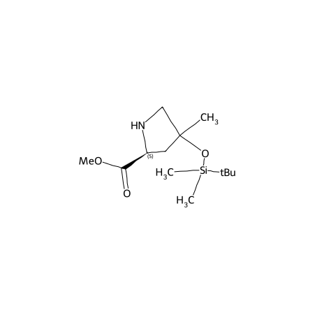 COC(=O)[C@@H]1CC(C)(O[Si](C)(C)C(C)(C)C)CN1